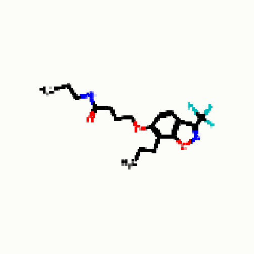 CCCNC(=O)CCCOc1ccc2c(C(F)(F)F)noc2c1CCC